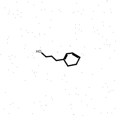 OCCCC1=CC=CCC1